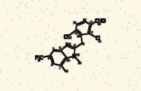 Cc1cc(C(F)(F)F)cc2nc(Cc3c(Cl)ccc(C=O)c3Cl)n(C)c12